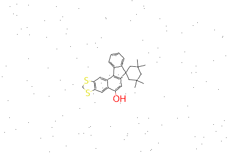 CC1(C)CC(C)(C)CC2(C1)c1ccccc1-c1c2cc(O)c2cc3c(cc12)SCS3